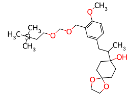 COc1ccc(CC(C)C2(O)CCC3(CC2)OCCO3)cc1COCOCC[Si](C)(C)C